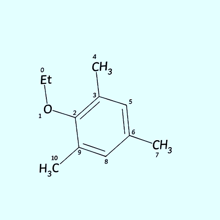 [CH2]COc1c(C)cc(C)cc1C